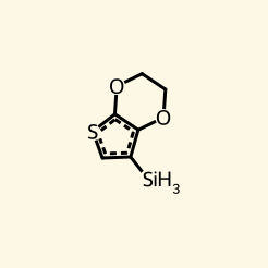 [SiH3]c1csc2c1OCCO2